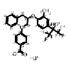 Cc1cc(C(O)(C(F)(F)F)C(F)(F)F)ccc1OC(COc1ccc(C(=O)[O-])cc1)Cc1ccccc1.[Li+]